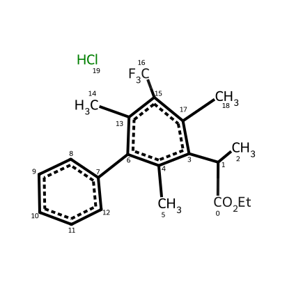 CCOC(=O)C(C)c1c(C)c(-c2ccccc2)c(C)c(C(F)(F)F)c1C.Cl